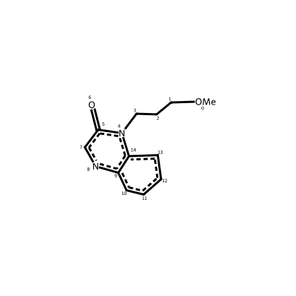 COCCCn1c(=O)cnc2ccccc21